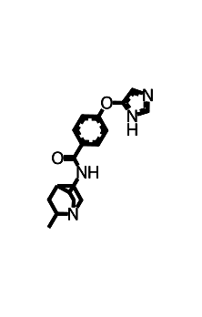 CC1CC2CCN1CC2NC(=O)c1ccc(Oc2cnc[nH]2)cc1